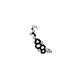 CCOC(=O)COc1ccc2c(c1)CC=C1[C@@H]2CC[C@]2(C)[C@H](O)CC[C@@H]12